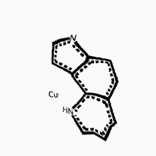 [Cu].c1c[nH]c2c(c1)ccc1nccc12